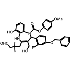 COc1ccc(OC(=O)N2c3cccc(O)c3NC(CC(C)(C)CC=O)=C(CO)C2c2ccc(OCc3ccccc3)cc2F)cc1